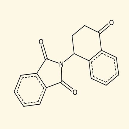 O=C1CCC(N2C(=O)c3ccccc3C2=O)c2ccccc21